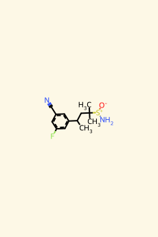 CC(CC(C)(C)[S+](N)[O-])c1cc(F)cc(C#N)c1